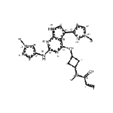 C=CC(=O)N(C)C1CC(Oc2nc(Nc3cnn(C)c3)nc3[nH]cc(-c4ccn(C)n4)c23)C1